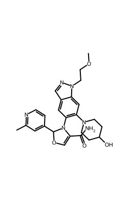 COCCn1ncc2cc(N3C(C(N)=O)=COC3c3ccnc(C)c3)c(N3CCC(O)CC3)cc21